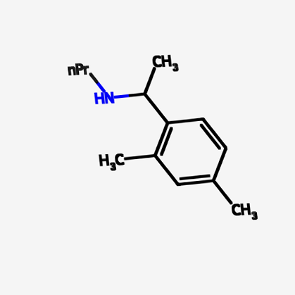 CCCNC(C)c1ccc(C)cc1C